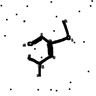 COC(C=O)=CN(C)C